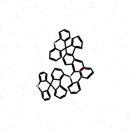 c1ccc(-c2ccccc2N(c2cccc3c2-c2ccccc2C32c3ccccc3Oc3ccccc32)c2cccc3c4c(ccc23)C2(c3ccccc3Sc3ccccc32)c2ccccc2-4)cc1